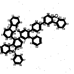 c1ccc(-c2ccc(-n3c4ccccc4c4cccc(-c5cccc6c5c5ccccc5n6-c5ccccc5)c43)cc2-c2ccc(-c3ccc4oc5ccccc5c4c3)cc2)cc1